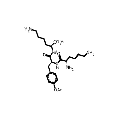 CC(=O)Oc1ccc(C[C@H](NC(=O)[C@@H](N)CCCCN)C(=O)N[C@@H](CCCCN)C(=O)O)cc1